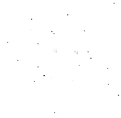 C=CCOc1cccc(Oc2ccc(CN(Cc3ccc(C#N)cc3)c3cccc([N+](=O)[O-])c3C)cc2)c1